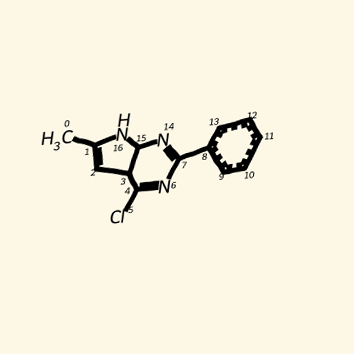 CC1=CC2C(Cl)=NC(c3ccccc3)=NC2N1